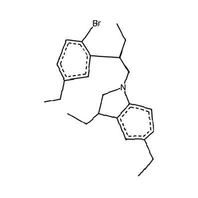 CCc1ccc(Br)c(C(CC)CN2CC(CC)c3cc(CC)ccc32)c1